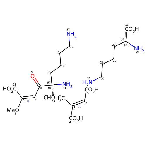 C/C(=C\C(=O)O)C(=O)O.CO/C(=C/C(=O)[C@@](N)(C=O)CCCCN)C(=O)O.NCCCC[C@H](N)C(=O)O